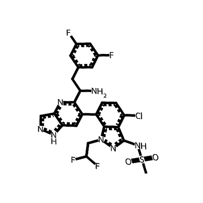 CS(=O)(=O)Nc1nn(CC(F)F)c2c(-c3cc4[nH]ncc4nc3C(N)Cc3cc(F)cc(F)c3)ccc(Cl)c12